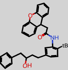 CC(C)(C)c1ccc(CCC(O)Cc2ccccc2)cc1NC(=O)CC1c2ccccc2Oc2ccccc21